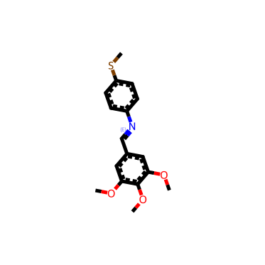 COc1cc(/C=N/c2ccc(SC)cc2)cc(OC)c1OC